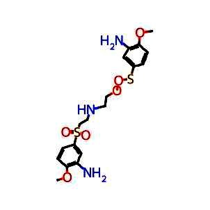 COc1ccc(SOOCCNCCS(=O)(=O)c2ccc(OC)c(N)c2)cc1N